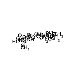 COC[C@H]1C[C@@H](c2nc(Br)c(-c3ccc4c(c3)COc3cc5c(ccc6nc([C@@H]7CC[C@H](C)N7C(=O)C(NC(=O)OC)C(C)C)[nH]c65)cc3-4)[nH]2)N(C(=O)C(NC(=O)O)c2ccccc2)C1